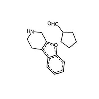 O=CC1CCCC1.c1ccc2c3c(oc2c1)CNCC3